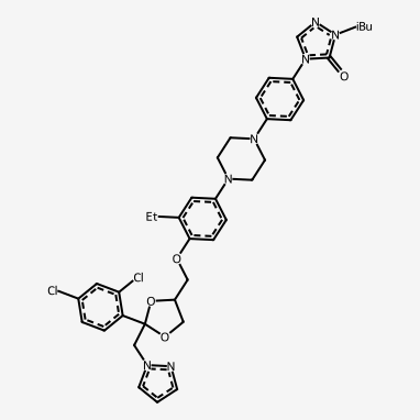 CCc1cc(N2CCN(c3ccc(-n4cnn(C(C)CC)c4=O)cc3)CC2)ccc1OCC1COC(Cn2cccn2)(c2ccc(Cl)cc2Cl)O1